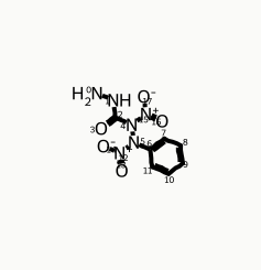 NNC(=O)N(N(c1ccccc1)[N+](=O)[O-])[N+](=O)[O-]